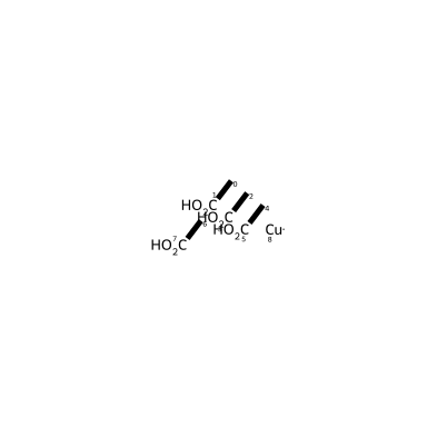 CC(=O)O.CC(=O)O.CC(=O)O.CC(=O)O.[Cu]